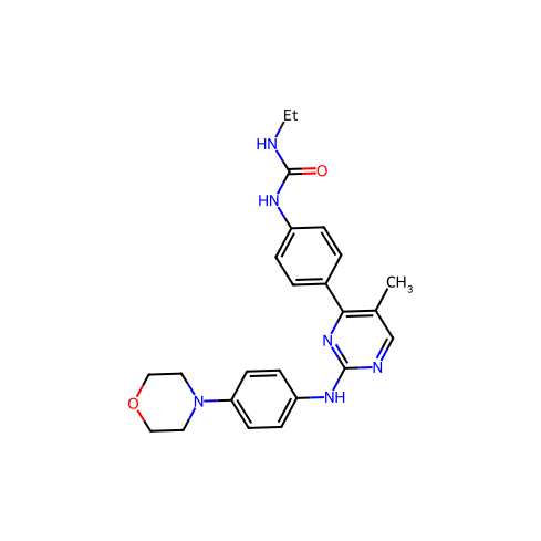 CCNC(=O)Nc1ccc(-c2nc(Nc3ccc(N4CCOCC4)cc3)ncc2C)cc1